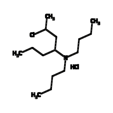 CCCCN(CCCC)C(CCC)CC(C)Cl.Cl